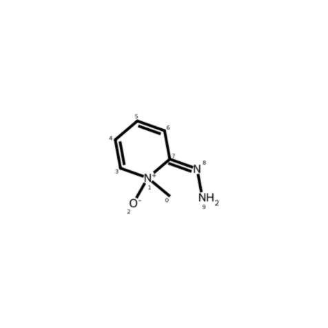 C[N+]1([O-])C=CC=CC1=NN